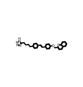 C(=Cc1ccc(OCc2ccc3ccccc3n2)cc1)c1ccc(CCCCc2nnn[nH]2)cc1